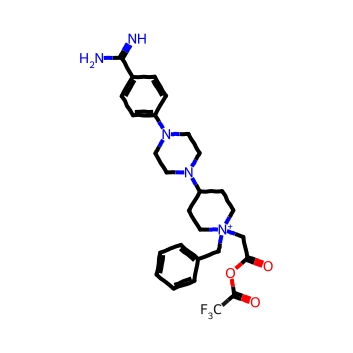 N=C(N)c1ccc(N2CCN(C3CC[N+](CC(=O)OC(=O)C(F)(F)F)(Cc4ccccc4)CC3)CC2)cc1